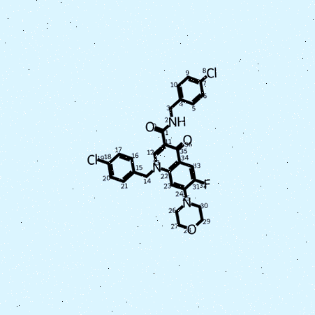 O=C(NCc1ccc(Cl)cc1)c1cn(Cc2ccc(Cl)cc2)c2cc(N3CCOCC3)c(F)cc2c1=O